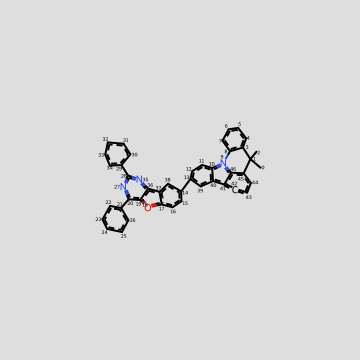 CC1(C)c2ccccc2-n2c3ccc(-c4ccc5oc6c(-c7ccccc7)nc(-c7ccccc7)nc6c5c4)cc3c3cccc1c32